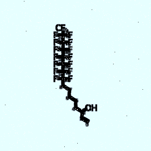 C=CC(O)CCCCCC(F)(F)C(F)(F)C(F)(F)C(F)(F)C(F)(F)C(F)(F)C(F)(F)C(F)(F)F